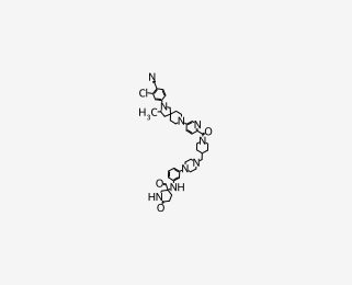 CC1CC2(CCN(c3ccc(C(=O)N4CCC(CN5CCN(c6cccc(NC7(C=O)CCC(=O)NC7)c6)CC5)CC4)nc3)CC2)CN1c1ccc(C#N)c(Cl)c1